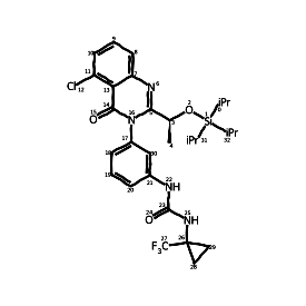 CC(C)[Si](O[C@@H](C)c1nc2cccc(Cl)c2c(=O)n1-c1cccc(NC(=O)NC2(C(F)(F)F)CC2)c1)(C(C)C)C(C)C